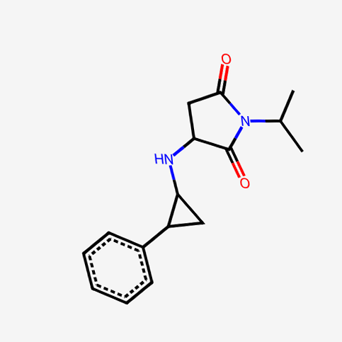 CC(C)N1C(=O)CC(NC2CC2c2ccccc2)C1=O